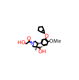 COc1ccc([C@@H]2CN(C(=O)CO)C[C@@]2(C)[C@@H](C)O)cc1OC1C2CCCC21